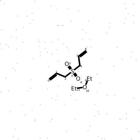 C=CCS(=O)(=O)CC=C.CCOCC